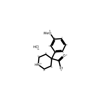 CCC(=O)C1(c2cccc(OC)c2)CCNCC1.Cl